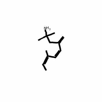 C=C(/C=C\C(C)=C/C)CC(C)(C)N